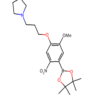 COc1cc(B2OC(C)(C)C(C)(C)O2)c([N+](=O)[O-])cc1OCCCN1CCCC1